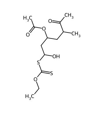 CCOC(=S)SC(O)CC(CC(C)C(C)=O)OC(C)=O